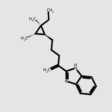 C=C(CCC[C@H]1[C@H](C)[C@@]1(C)CC)c1nc2ccccc2[nH]1